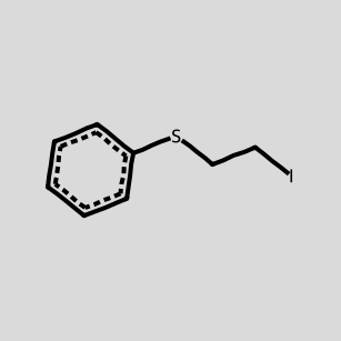 ICCSc1ccccc1